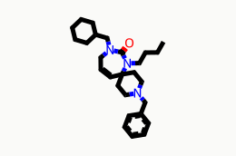 CCCCN1C(=O)N(CC2CCCCC2)CC=CC12CCN(Cc1ccccc1)CC2